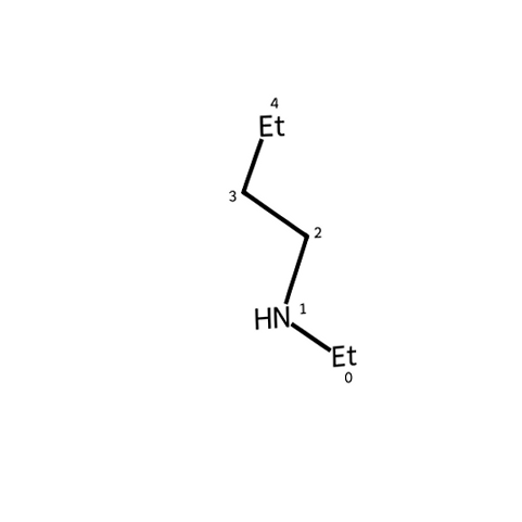 [CH2]CNCCCC